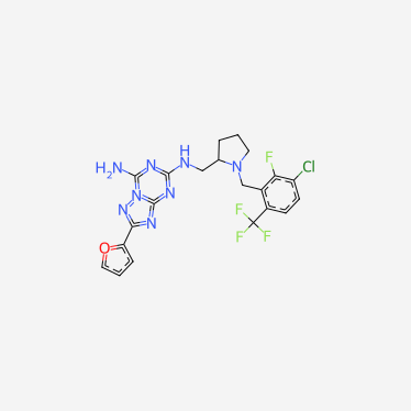 Nc1nc(NCC2CCCN2Cc2c(C(F)(F)F)ccc(Cl)c2F)nc2nc(-c3ccco3)nn12